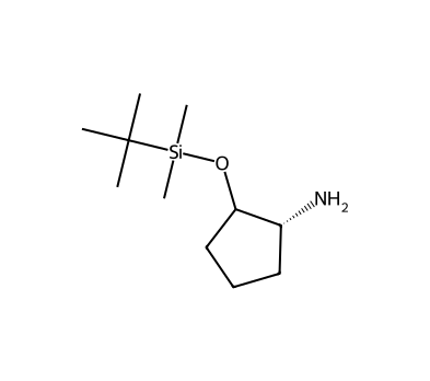 CC(C)(C)[Si](C)(C)OC1CCC[C@H]1N